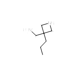 CCCC1(CN)CNC1